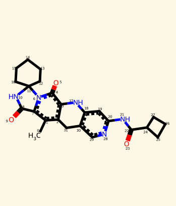 Cc1c2c(c(=O)n3c1C(=O)NC31CCCCC1)Nc1cc(NC(=O)C3CCC3)ncc1C2